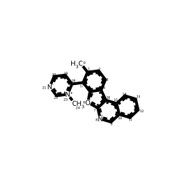 Cc1ccc2c(oc3ncc4ccccc4c32)c1-c1ccnc[n+]1C